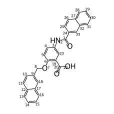 O=C(Nc1ccc(OCc2ccc3ccccc3c2)c(C(=O)O)c1)c1ccc2ccccc2c1